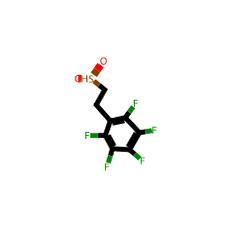 O=[SH](=O)CCc1c(F)c(F)c(F)c(F)c1F